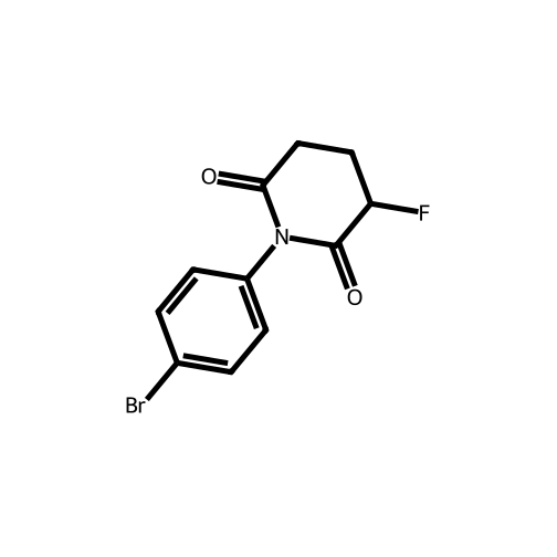 O=C1CCC(F)C(=O)N1c1ccc(Br)cc1